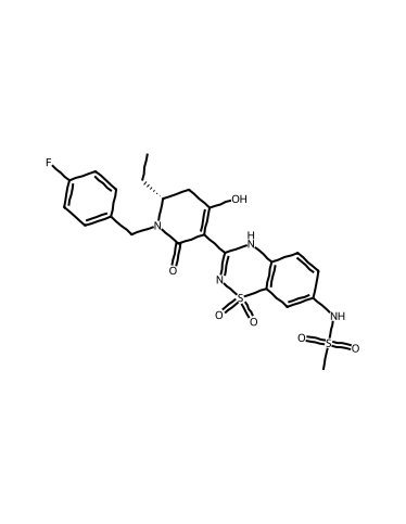 CC[C@@H]1CC(O)=C(C2=NS(=O)(=O)c3cc(NS(C)(=O)=O)ccc3N2)C(=O)N1Cc1ccc(F)cc1